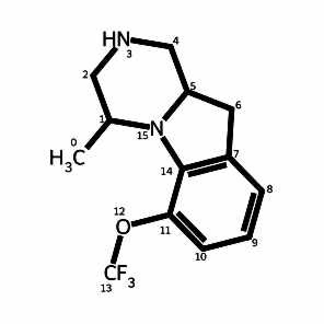 CC1CNCC2Cc3cccc(OC(F)(F)F)c3N12